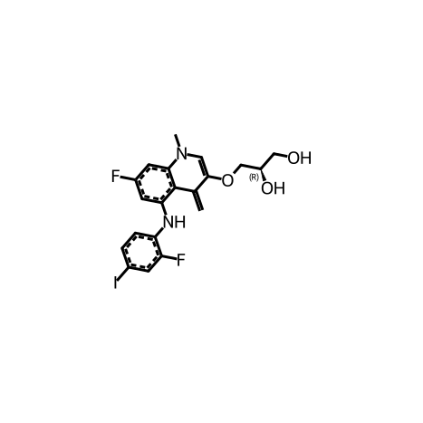 C=C1C(OC[C@H](O)CO)=CN(C)c2cc(F)cc(Nc3ccc(I)cc3F)c21